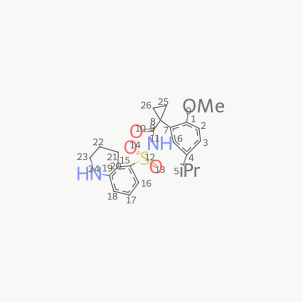 COc1ccc(C(C)C)cc1C1(C(=O)NS(=O)(=O)c2cccc3c2CCCN3)CC1